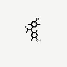 CC(=O)C(c1cc(C)c(O)cc1C)c1cc(C)c(O)cc1C